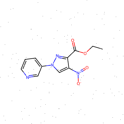 CCOC(=O)c1nn(-c2cccnc2)cc1[N+](=O)[O-]